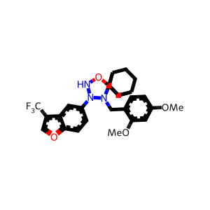 COc1ccc(CN2N(c3ccc4occ(C(F)(F)F)c4c3)NOC23CC2CCC3CC2)c(OC)c1